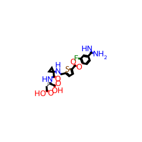 N=C(N)c1ccc(OC(=O)c2ccc(CNC3(C(=O)N[C@@H](CC(=O)O)C(=O)O)CC3)s2)c(F)c1